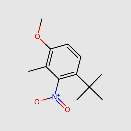 COc1ccc(C(C)(C)C)c([N+](=O)[O-])c1C